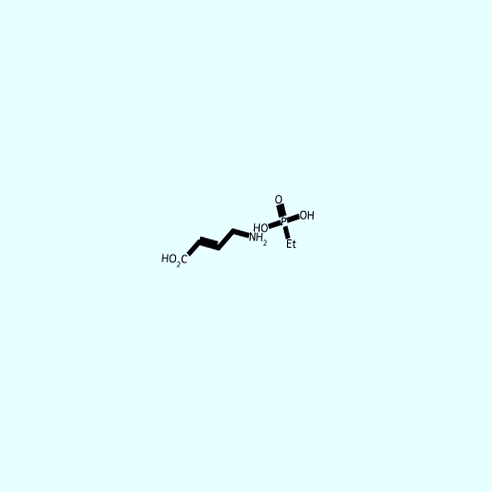 CCP(=O)(O)O.NCC=CC(=O)O